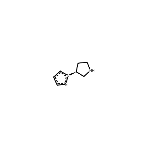 c1cnn([C@H]2CCNC2)c1